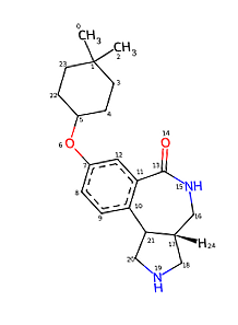 CC1(C)CCC(Oc2ccc3c(c2)C(=O)NC[C@@H]2CNCC32)CC1